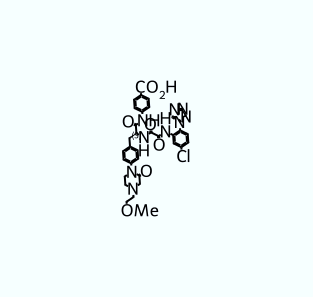 COCCN1CCN(c2ccc(C[C@H](NC(=O)C(=O)Nc3cc(Cl)ccc3-n3cnnn3)C(=O)Nc3ccc(C(=O)O)cc3)cc2)C(=O)C1